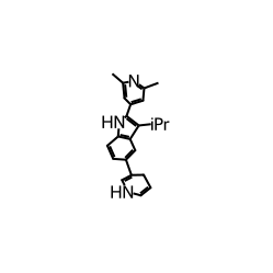 Cc1cc(-c2[nH]c3ccc(C4=CNC=CC4)cc3c2C(C)C)cc(C)n1